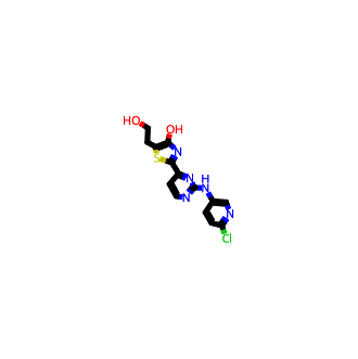 OCCc1sc(-c2ccnc(Nc3ccc(Cl)nc3)n2)nc1O